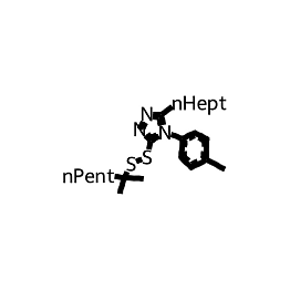 CCCCCCCc1nnc(SSC(C)(C)CCCCC)n1-c1ccc(C)cc1